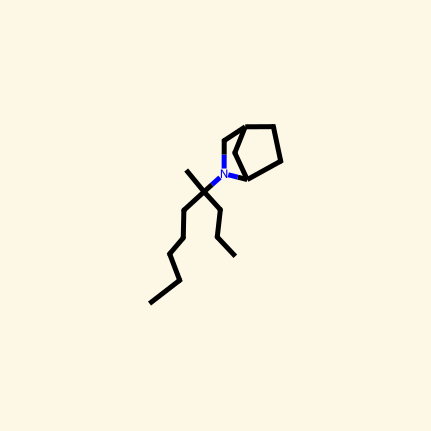 CCCCCC(C)(CCC)N1CC2CCC1C2